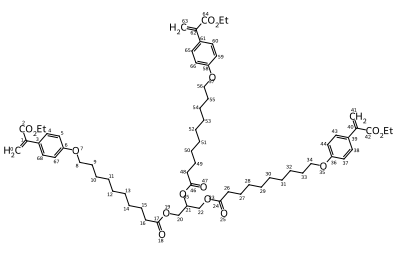 C=C(C(=O)OCC)c1ccc(OCCCCCCCCCC(=O)OCC(COC(=O)CCCCCCCCCOc2ccc(C(=C)C(=O)OCC)cc2)OC(=O)CCCCCCCCCOc2ccc(C(=C)C(=O)OCC)cc2)cc1